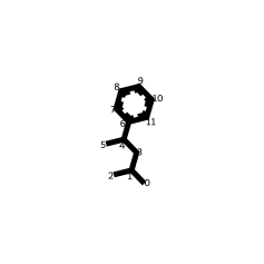 CC(C)CC(C)c1[c]cccc1